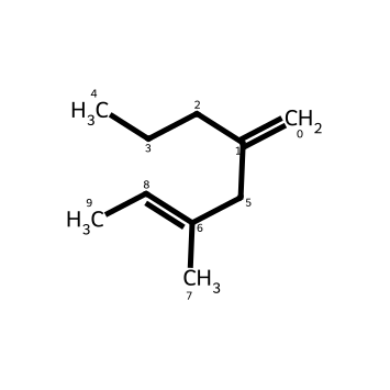 C=C(CCC)CC(C)=CC